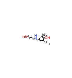 Cc1cc(CNCCCCO)cc(C(C)(C)C)c1O